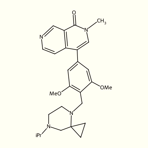 COc1cc(-c2cn(C)c(=O)c3cnccc23)cc(OC)c1CN1CCN(C(C)C)CC12CC2